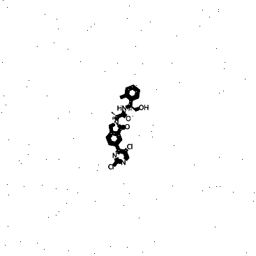 Cc1ccccc1[C@@H](CO)NC(=O)[C@@H](C)N1Cc2ccc(-c3nc(Cl)ncc3Cl)cc2C1=O